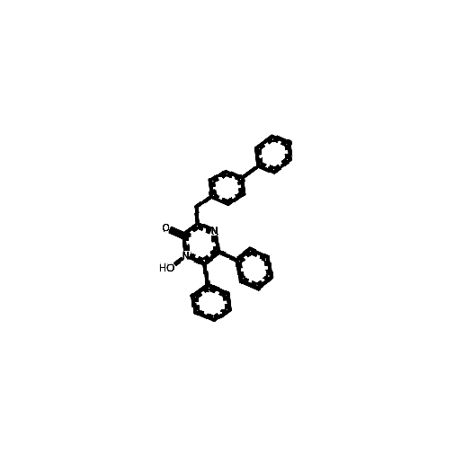 O=c1c(Cc2ccc(-c3ccccc3)cc2)nc(-c2ccccc2)c(-c2ccccc2)n1O